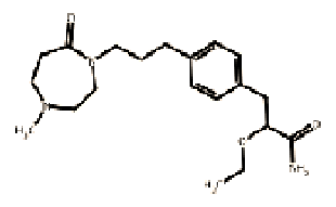 CCOC(Cc1ccc(CCCN2CCN(C)CCC2=O)cc1)C(N)=O